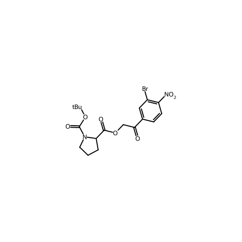 CC(C)(C)OC(=O)N1CCCC1C(=O)OCC(=O)c1ccc([N+](=O)[O-])c(Br)c1